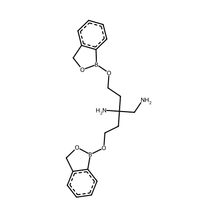 NCC(N)(CCOB1OCc2ccccc21)CCOB1OCc2ccccc21